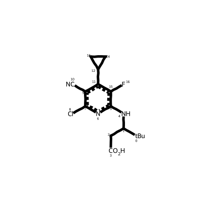 CC(C)(C)C(CC(=O)O)Nc1nc(Cl)c(C#N)c(C2CC2)c1F